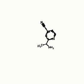 CC(N)c1cc(C#N)ccn1